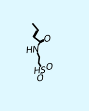 CC=CC(=O)NCC[SH](=O)=O